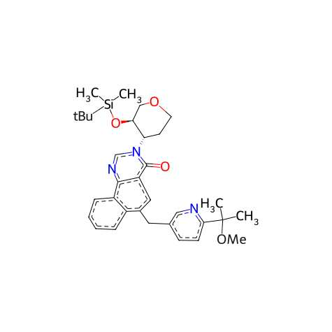 COC(C)(C)c1ccc(Cc2cc3c(=O)n([C@H]4CCOC[C@@H]4O[Si](C)(C)C(C)(C)C)cnc3c3ccccc23)cn1